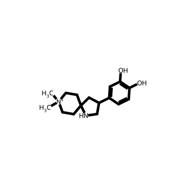 C[N+]1(C)CCC2(CC1)CC(c1ccc(O)c(O)c1)CN2